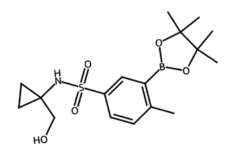 Cc1ccc(S(=O)(=O)NC2(CO)CC2)cc1B1OC(C)(C)C(C)(C)O1